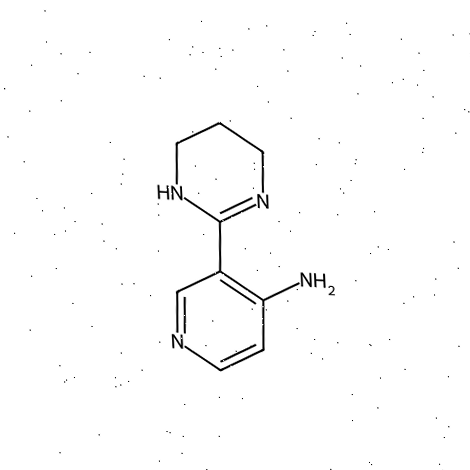 Nc1ccncc1C1=NCCCN1